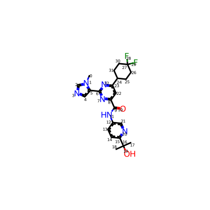 Cn1cncc1-c1nc(C(=O)Nc2ccc(C(C)(C)O)nc2)cc(C2CCC(F)(F)CC2)n1